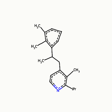 Cc1cccc(C(C)Cc2ccnc(C(C)C)c2C)c1C